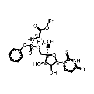 C#C[C@]1(CO[P@](=O)(N[C@@H](C)C(=O)OC(C)C)Oc2ccccc2)O[C@@H](n2ccc(=O)[nH]c2=S)C(O)[C@H]1O